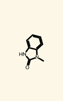 Cn1c(=O)[nH]c2c1=C=C=CC=2